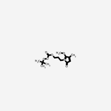 COC1=[N+](CCCOC(=O)OOC(C)(C)C)C(=O)C=C1C